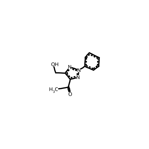 CC(=O)c1nn(-c2ccccc2)nc1CO